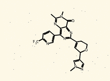 Cc1nc2c(-c3ccc(C(F)(F)F)nc3)nc(C3=CC(c4cnn(C)c4)OCC3)nc2c(=O)n1C